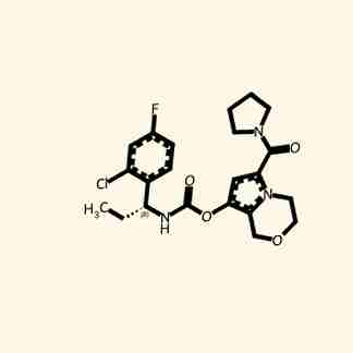 CC[C@@H](NC(=O)Oc1cc(C(=O)N2CCCC2)n2c1COCC2)c1ccc(F)cc1Cl